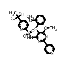 [2H]C([2H])(C)c1ccc(S(=O)(=O)Nc2nc(-c3ccncc3)nc(OC)c2Oc2ccccc2OC)nc1